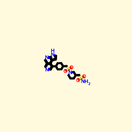 NS(=O)(=O)CC1CCCN(S(=O)(=O)CC2CCC(c3cncc4cnc5[nH]ccc5c34)CC2)C1